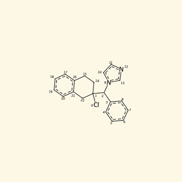 ClC1(C(c2ccccc2)n2ccnc2)CCc2ccccc2C1